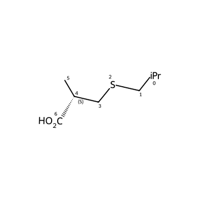 CC(C)CSC[C@@H](C)C(=O)O